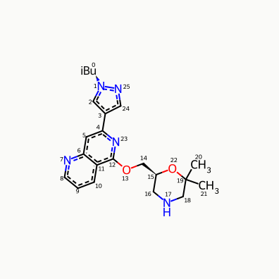 CC[C@H](C)n1cc(-c2cc3ncccc3c(OC[C@@H]3CNCC(C)(C)O3)n2)cn1